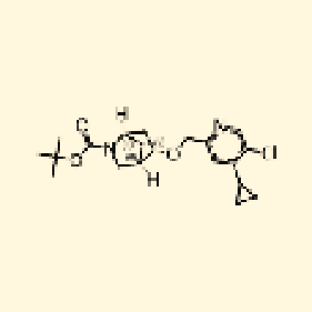 CC(C)(C)OC(=O)N1C[C@H]2C[C@@H]1C[C@@H]2OCc1cc(C2CC2)c(Cl)cn1